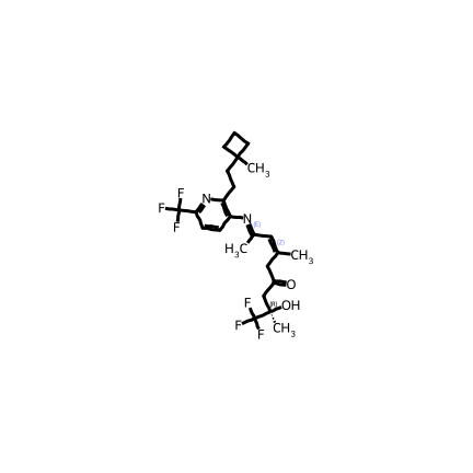 C/C(=C/C(C)=N/c1ccc(C(F)(F)F)nc1CCC1(C)CCC1)CC(=O)C[C@@](C)(O)C(F)(F)F